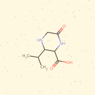 CC(C)C1NCC(=O)NC1C(=O)O